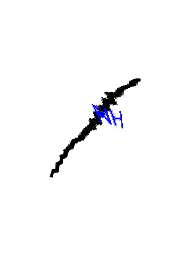 CCCCCCCCCCCCCCCCNCCCCCCCCCC